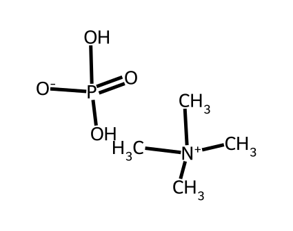 C[N+](C)(C)C.O=P([O-])(O)O